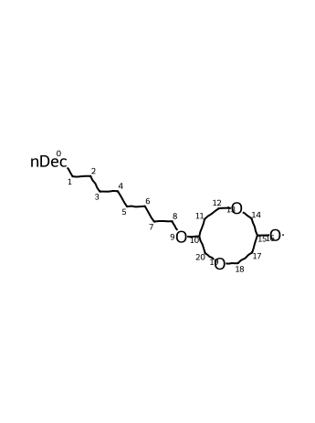 [CH2]CCCCCCCCCCCCCCCCCOC1CCOCC([O])CCOC1